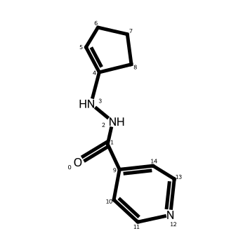 O=C(NNC1=CCCC1)c1ccncc1